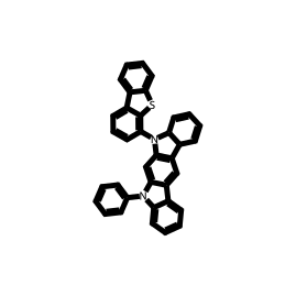 C1=CC2c3cc4c5ccccc5n(-c5ccccc5)c4cc3N(c3cccc4c3sc3ccccc34)C2C=C1